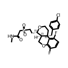 CNC(=O)CS(=O)(=O)CC[C@@H]1OCC[C@@]2(Cc3ccc(Cl)cc3)c3c(F)ccc(F)c3OC[C@@H]12